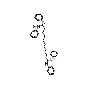 c1ccc(/N=C(/CCCCCCCCCC/C(=N/c2ccccc2)Nc2ccccc2)Nc2ccccc2)cc1